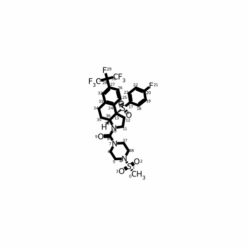 CS(=O)(=O)N1CCN(C(=O)N2CC[C@@]3(S(=O)(=O)c4ccc(F)cc4)c4ccc(C(F)(C(F)(F)F)C(F)(F)F)cc4CC[C@@H]23)CC1